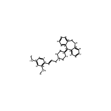 COc1ccc(C=CCN2CCC(=C3c4ccccc4CCc4ccccc43)CC2)c(OC)c1